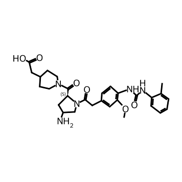 COc1cc(CC(=O)N2CC(N)C[C@H]2C(=O)N2CCC(CC(=O)O)CC2)ccc1NC(=O)Nc1ccccc1C